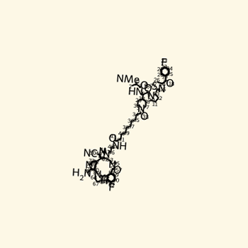 CN[C@H](C)C(=O)N[C@@H](C(=O)N1CCC[C@@H]1C1=NC(C(=O)c2ccc(F)cc2)CS1)C1CCN(C(=O)CCCCCCCCC(=O)NCCn2nc(C#N)c3c2CN(C)C(=O)c2ccc(F)cc2[C@H]2CCCN2c2cc-3cnc2N)CC1